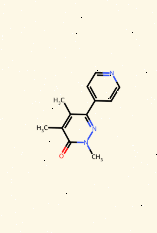 Cc1c(-c2ccncc2)nn(C)c(=O)c1C